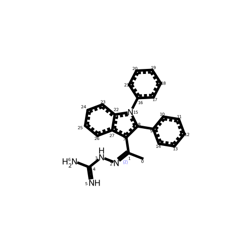 C/C(=N/NC(=N)N)c1c(-c2ccccc2)n(-c2ccccc2)c2ccccc12